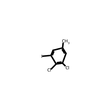 Cc1cc(Cl)c(Cl)c(I)c1